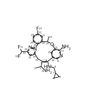 CC(N)/C1=C(\NCC2CC2)c2cnc(N)c(c2)OC(C)c2cc(F)ccc2-n2nc(C(F)F)cc2C1